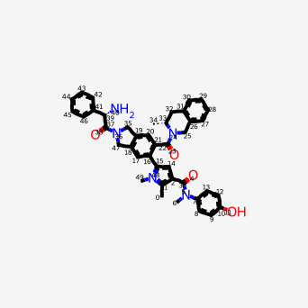 Cc1c(C(=O)N(C)c2ccc(O)cc2)cc(-c2cc3c(cc2C(=O)N2Cc4ccccc4C[C@H]2C)CN(C(=O)[C@@H](N)c2ccccc2)C3)n1C